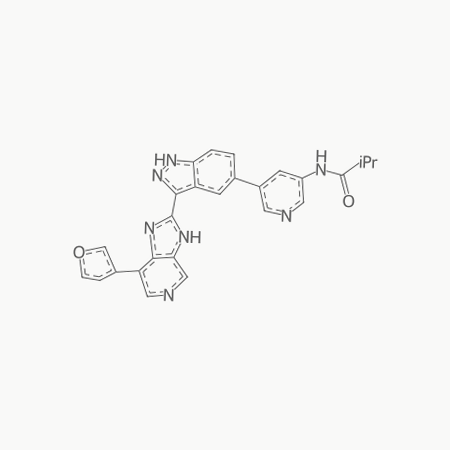 CC(C)C(=O)Nc1cncc(-c2ccc3[nH]nc(-c4nc5c(-c6ccoc6)cncc5[nH]4)c3c2)c1